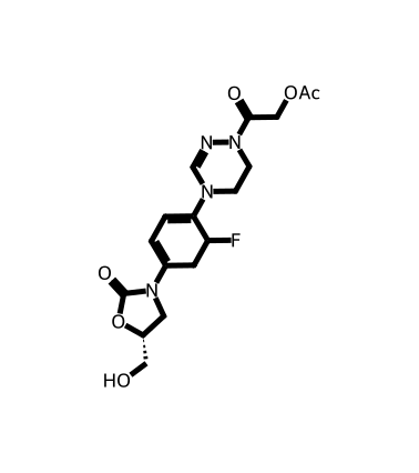 CC(=O)OCC(=O)N1CCN(C2=CC=C(N3C[C@H](CO)OC3=O)CC2F)C=N1